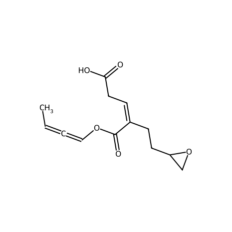 CC=C=COC(=O)C(=CCC(=O)O)CCC1CO1